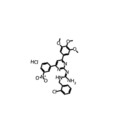 COc1cc(-c2cc(-c3cccc([N+](=O)[O-])c3)nc(N=C(N)NCc3ccccc3Cl)n2)cc(OC)c1OC.Cl